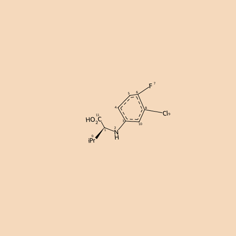 CC(C)[C@H](Nc1ccc(F)c(Cl)c1)C(=O)O